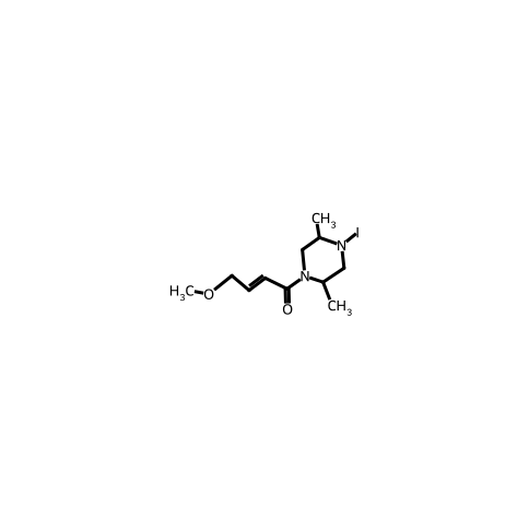 COC/C=C/C(=O)N1CC(C)N(I)CC1C